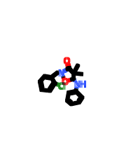 CC1(C)C(=O)N(Cc2ccccc2Cl)OC1Nc1ccccc1